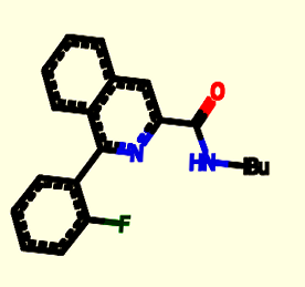 CCC(C)NC(=O)c1cc2ccccc2c(-c2ccccc2F)n1